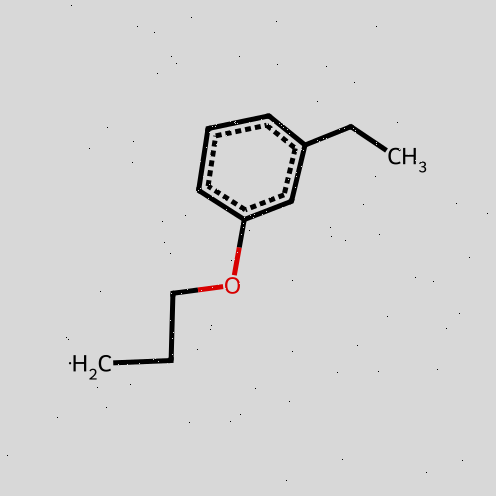 [CH2]CCOc1cccc(CC)c1